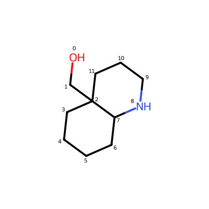 OCC12CCCCC1NCCC2